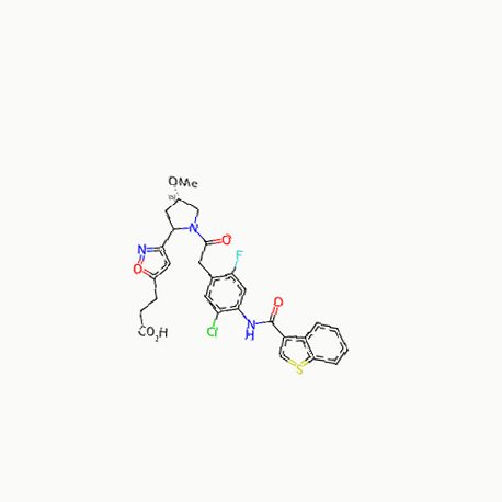 CO[C@H]1CC(c2cc(CCC(=O)O)on2)N(C(=O)Cc2cc(Cl)c(NC(=O)c3csc4ccccc34)cc2F)C1